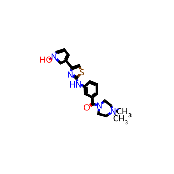 C[N+]1(C)CCN(C(=O)c2cccc(Nc3nc(C4=CC=CN(O)C4)cs3)c2)CC1